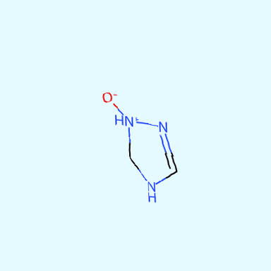 [O-][NH+]1CNC=N1